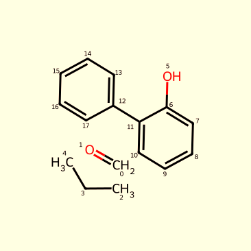 C=O.CCC.Oc1ccccc1-c1ccccc1